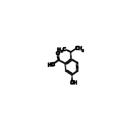 CC(C)c1ccc(O)cc1C(=O)O